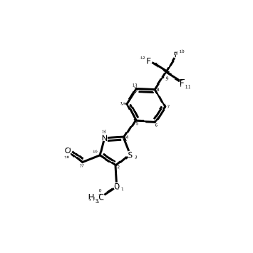 COc1sc(-c2ccc(C(F)(F)F)cc2)nc1C=O